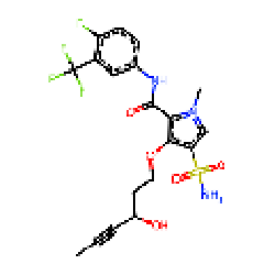 CC#C[C@H](O)CCOc1c(S(N)(=O)=O)cn(C)c1C(=O)Nc1ccc(F)c(C(F)(F)F)c1